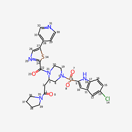 O=C(CC1CN(S(=O)(=O)c2cc3cc(Cl)ccc3[nH]2)CCN1C(=O)c1ncc(-c2ccncc2)s1)N1CCCC1